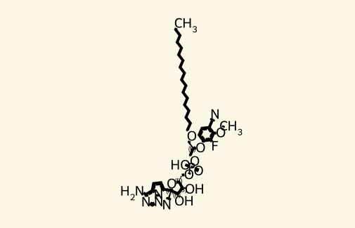 CCCCCCCCCCCCCCCCCCOC[C@H](COP(=O)(O)OC[C@H]1O[C@@](C#N)(c2ccc3c(N)ncnn23)[C@H](O)[C@@H]1O)Oc1ccc(C#N)c(OC)c1F